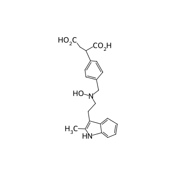 Cc1[nH]c2ccccc2c1CCN(O)Cc1ccc(C(CC(=O)O)C(=O)O)cc1